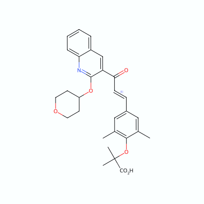 Cc1cc(/C=C/C(=O)c2cc3ccccc3nc2OC2CCOCC2)cc(C)c1OC(C)(C)C(=O)O